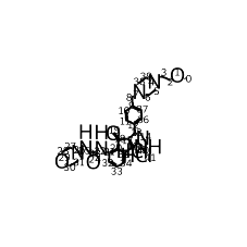 COCCN1CCN(Cc2ccc(-c3n[nH]c4c3C(=O)c3c(NC(=O)NN5CCOCC5)cccc3-4)cc2)CC1.Cl.Cl